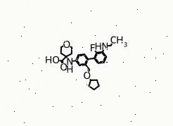 CCNc1cccc(-c2ccc(NC3(C(=O)O)CCOCC3)cc2COC2CCCC2)c1F